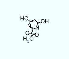 CS(=O)(=O)c1nc(O)cc(O)n1